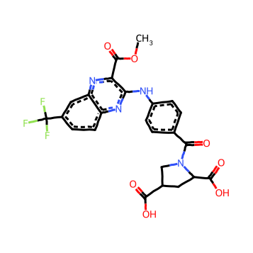 COC(=O)c1nc2cc(C(F)(F)F)ccc2nc1Nc1ccc(C(=O)N2CC(C(=O)O)CC2C(=O)O)cc1